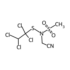 CS(=O)(=O)N(CC#N)SC(Cl)(Cl)C(Cl)Cl